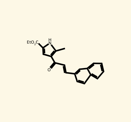 CCOC(=O)c1cc(C(=O)C=Cc2ccc3ccccc3c2)c(C)[nH]1